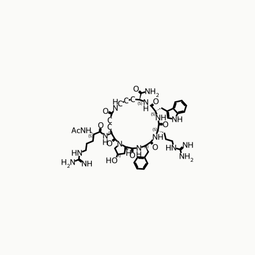 CC(=O)N[C@@H](CCCNC(=N)N)C(=O)N[C@H]1CCC(=O)NCCC[C@@H](C(N)=O)NC(=O)[C@H](Cc2c[nH]c3ccccc23)NC(=O)[C@H](CCCNC(=N)N)NC(=O)[C@@H](Cc2ccccc2)NC(=O)[C@@H]2C[C@@H](O)CN2C1=O